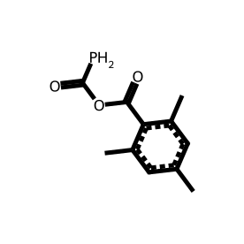 Cc1cc(C)c(C(=O)OC(=O)P)c(C)c1